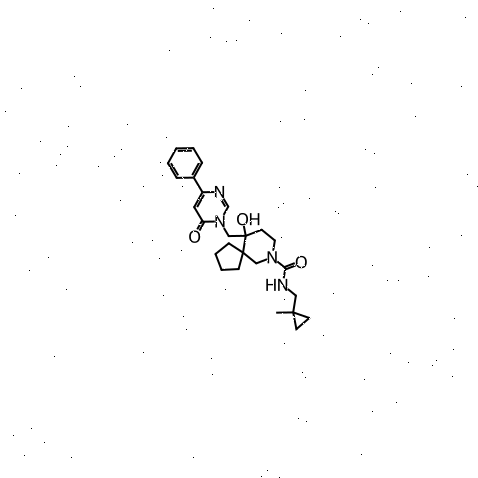 CC1(CNC(=O)N2CCC(O)(Cn3cnc(-c4ccccc4)cc3=O)C3(CCCC3)C2)CC1